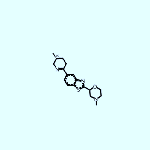 C[C@H]1CCC(c2ccc3sc(C4CN(C)CCO4)nc3c2)=NC1